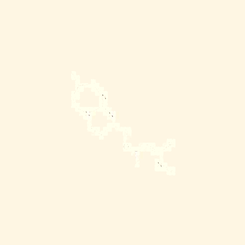 C=N/C(F)=C\C(=C)OCC1C=CN2CC=C(C)C=NC2=N1